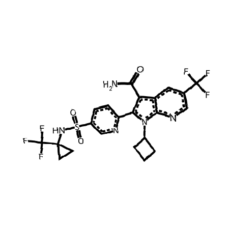 NC(=O)c1c(-c2ccc(S(=O)(=O)NC3(C(F)(F)F)CC3)cn2)n(C2CCC2)c2ncc(C(F)(F)F)cc12